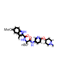 CCCCC(NC(=O)c1[nH]c2ccc(OC)cc2c1C)C(=O)Nc1ccc(OC2CCN(C)CC2)nc1